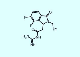 CC(C)CN1C(=O)c2ccc(F)c(F)c2C1CC(=O)NC(=N)N